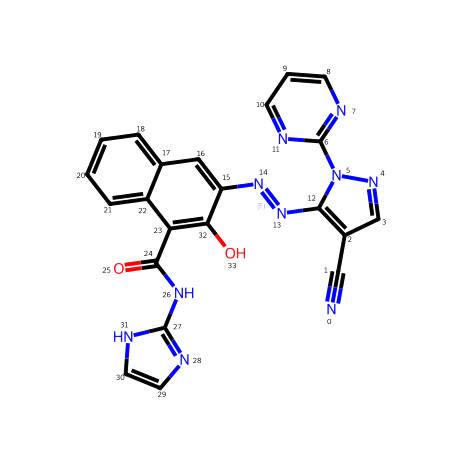 N#Cc1cnn(-c2ncccn2)c1/N=N/c1cc2ccccc2c(C(=O)Nc2ncc[nH]2)c1O